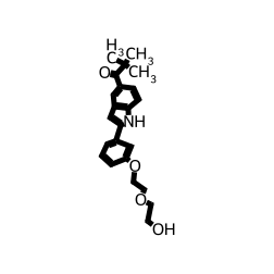 CC(C)(C)C(=O)c1ccc2[nH]c(-c3cccc(OCCOCCO)c3)cc2c1